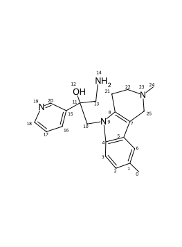 Cc1ccc2c(c1)c1c(n2CC(O)(CN)c2cccnc2)CCN(C)C1